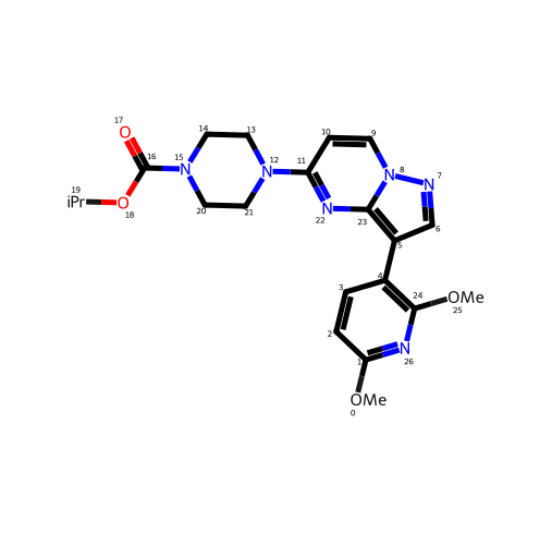 COc1ccc(-c2cnn3ccc(N4CCN(C(=O)OC(C)C)CC4)nc23)c(OC)n1